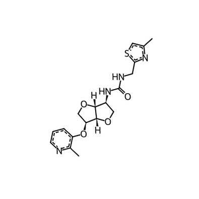 Cc1csc(CNC(=O)N[C@H]2CO[C@H]3[C@@H]2OC[C@@H]3Oc2cccnc2C)n1